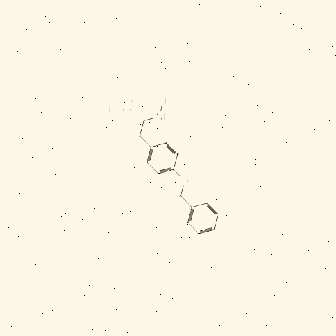 CC(C)N[C@H](Cc1ccc(OCc2ccccc2)cc1)C(=O)O